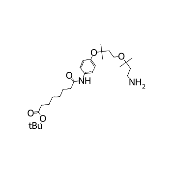 CC(C)(C)OC(=O)CCCCCCC(=O)Nc1ccc(OC(C)(C)CCOC(C)(C)CCN)cc1